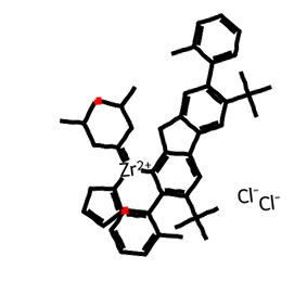 Cc1ccccc1-c1cc2c(cc1C(C)(C)C)-c1cc(C(C)(C)C)c(-c3ccccc3C)[c]([Zr+2]([C]3=CC=CC3)=[C](CC(C)C)CC(C)C)c1C2.[Cl-].[Cl-]